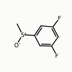 C[S+]([O-])c1cc(F)[c]c(F)c1